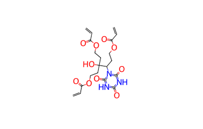 C=CC(=O)OCCC(n1c(=O)[nH]c(=O)[nH]c1=O)C(O)(CCOC(=O)C=C)CCOC(=O)C=C